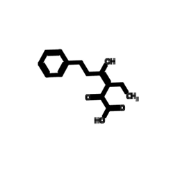 CCC(C(=O)C(=O)O)=C(O)CCc1ccccc1